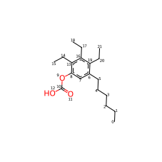 CCCCCCc1cc(OC(=O)O)c(CC)c(CC)c1CC